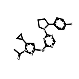 CC(=O)n1nc(Nc2ncnc(N3CCCC3c3ccc(F)cc3)n2)cc1C1CC1